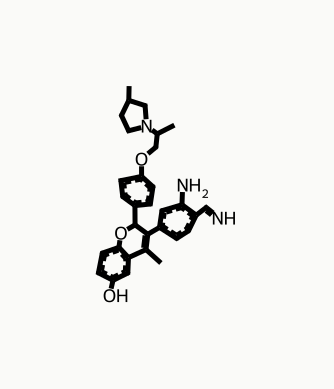 CC1=C(c2ccc(C=N)c(N)c2)C(c2ccc(OCC(C)N3CCC(C)C3)cc2)Oc2ccc(O)cc21